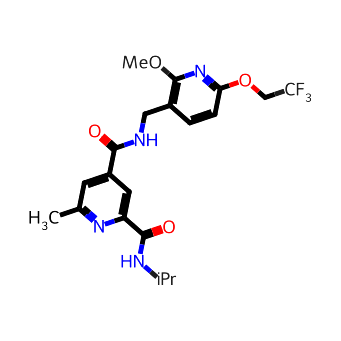 COc1nc(OCC(F)(F)F)ccc1CNC(=O)c1cc(C)nc(C(=O)NC(C)C)c1